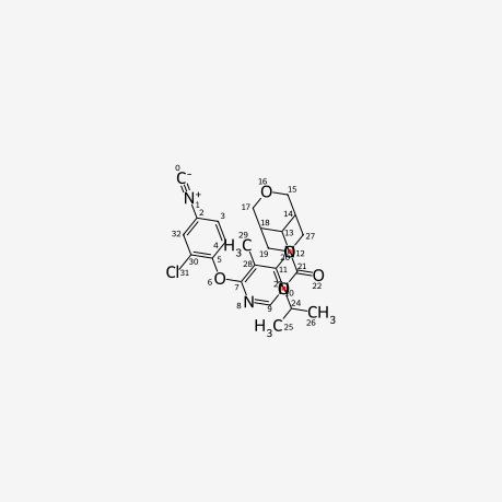 [C-]#[N+]c1ccc(Oc2ncnc(OC3C4COCC3CN(C(=O)OC(C)C)C4)c2C)c(Cl)c1